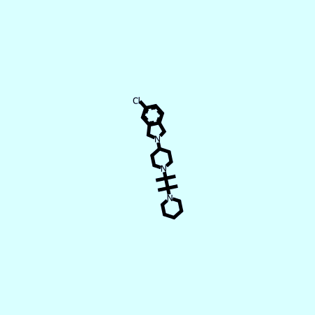 CC(C)(N1CCCCC1)C(C)(C)N1CCC(N2Cc3ccc(Cl)cc3C2)CC1